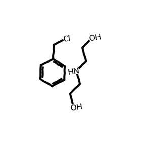 ClCc1ccccc1.OCCNCCO